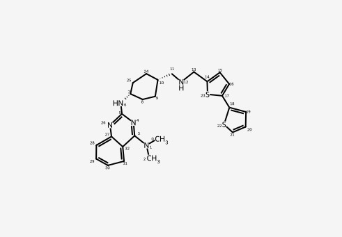 CN(C)c1nc(N[C@H]2CC[C@@H](CNCc3ccc(-c4cccs4)s3)CC2)nc2ccccc12